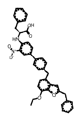 CCOc1ccc(Cc2ccc(-c3ccc(N[C@@H](Cc4ccccc4)C(=O)O)c([N+](=O)[O-])c3)cc2)c2cc(Cc3ccccc3)oc12